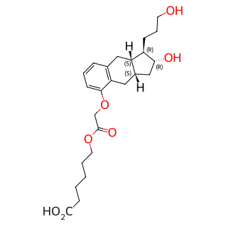 O=C(O)CCCCCOC(=O)COc1cccc2c1C[C@H]1C[C@@H](O)[C@H](CCCO)[C@H]1C2